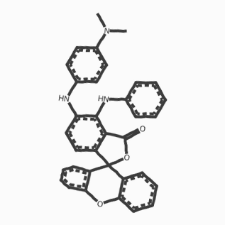 CN(C)c1ccc(Nc2ccc3c(c2Nc2ccccc2)C(=O)OC32c3ccccc3Oc3ccccc32)cc1